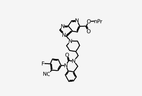 CCCOC(=O)c1cc2c(N3CCC(CN4Cc5ccccc5N(c5ccc(F)c(C#N)c5)C4=O)CC3)ncnc2cn1